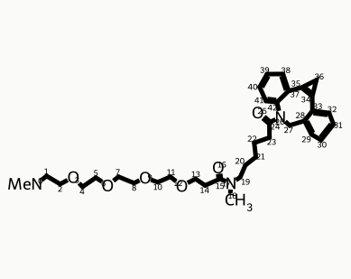 CNCCOCCOCCOCCOCCC(=O)N(C)CCCCCC(=O)N1Cc2ccccc2C2=C(C2)c2ccccc21